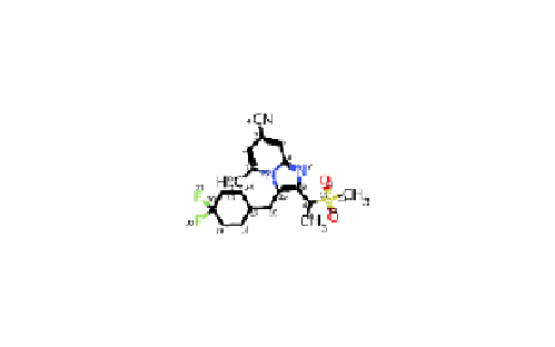 Cc1cc(C#N)cc2nc(C(C)S(C)(=O)=O)c(CC3CCC(F)(F)CC3)n12